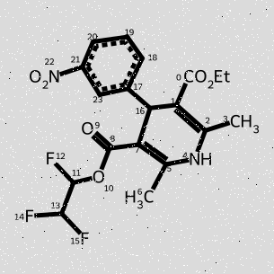 CCOC(=O)C1=C(C)NC(C)=C(C(=O)OC(F)C(F)F)C1c1cccc([N+](=O)[O-])c1